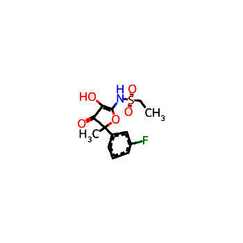 CCS(=O)(=O)NC1=C(O)C(=O)C(C)(c2cccc(F)c2)O1